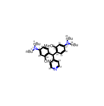 CCCCN(CCCC)c1ccc(C(c2ccncc2)c2ccc(N(CCCC)CCCC)cc2OC)c(OC)c1